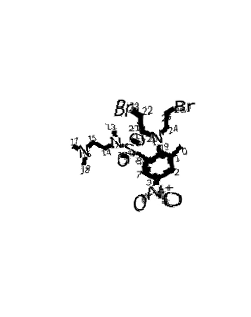 Cc1cc([N+](=O)[O-])cc(S(=O)(=O)N(C)CCN(C)C)c1N(CCBr)CCBr